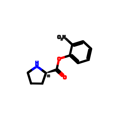 O=C(Oc1ccccc1[N+](=O)[O-])[C@@H]1CCCN1